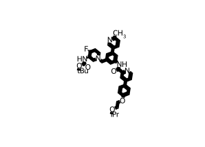 Cc1ccc(-c2cc(CN3CC[C@@H](F)[C@H](NC(=O)OC(C)(C)C)C3)cc(NC(=O)c3cc(-c4ccc(OCCOC(C)C)cc4)ccn3)c2)cn1